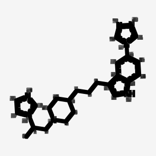 CC(CN1CCC(CCCc2c[nH]c3ccc(-n4cnnc4)cc23)CC1)n1ccnc1